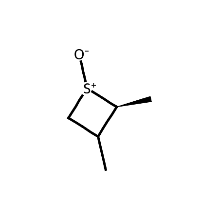 CC1C[S+]([O-])[C@H]1C